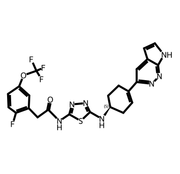 O=C(Cc1cc(OC(F)(F)F)ccc1F)Nc1nnc(N[C@@H]2CC=C(c3cc4cc[nH]c4nn3)CC2)s1